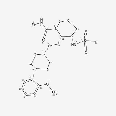 CCNC(=O)N1CCC[C@H](NS(C)(=O)=O)[C@@H]1CO[C@H]1CC[C@@H](c2ccccc2OC(F)(F)F)CC1